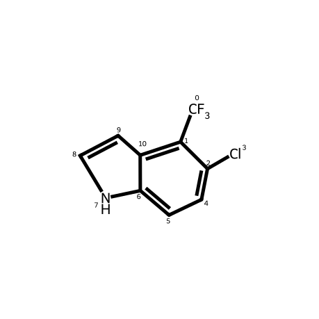 FC(F)(F)c1c(Cl)ccc2[nH]ccc12